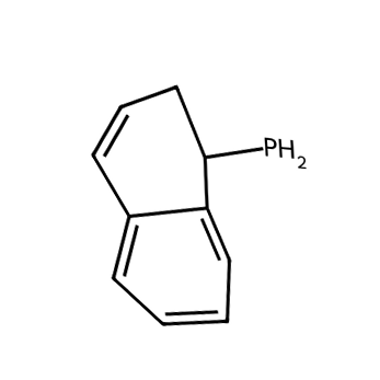 PC1CC=Cc2ccccc21